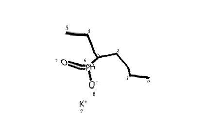 CCCC(CC)[PH](=O)[O-].[K+]